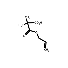 C=CCOC(=O)C(C)(C)C(=O)O